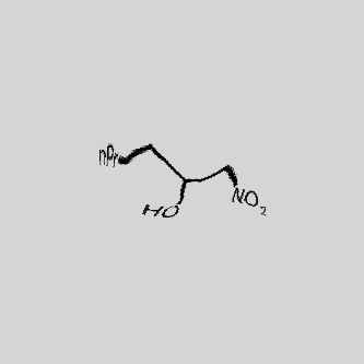 CCCCC(O)C[N+](=O)[O-]